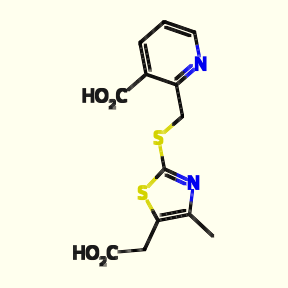 Cc1nc(SCc2ncccc2C(=O)O)sc1CC(=O)O